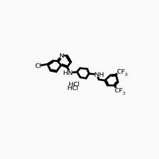 Cl.Cl.FC(F)(F)c1cc(CNC2CCC(Nc3ccnc4cc(Cl)ccc34)CC2)cc(C(F)(F)F)c1